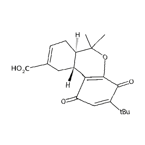 CC(C)(C)C1=CC(=O)C2=C(OC(C)(C)[C@@H]3CC=C(C(=O)O)C[C@@H]23)C1=O